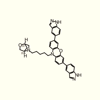 c1cc2c(cc1-c1ccc3[nH]ncc3c1)Oc1cc(-c3ccc4[nH]ncc4c3)ccc1N2CCCCCN1C[C@@H]2C[C@H]1CO2